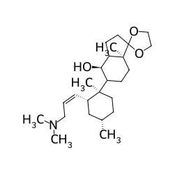 C[C@H]1CC[C@](C)(C2CC[C@@]3(C)C(CCC34OCCO4)[C@@H]2O)[C@@H](/C=C\CN(C)C)C1